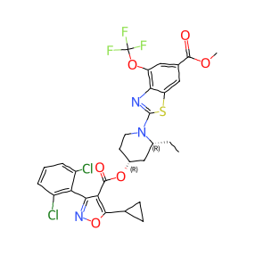 CC[C@@H]1C[C@H](OC(=O)c2c(-c3c(Cl)cccc3Cl)noc2C2CC2)CCN1c1nc2c(OC(F)(F)F)cc(C(=O)OC)cc2s1